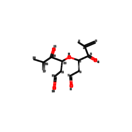 C=C(C)C(=O)C(CC=O)OC(CC=O)C(=O)C(=C)C